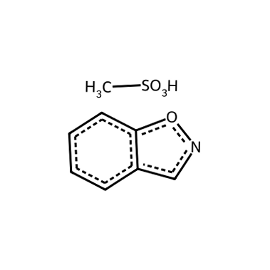 CS(=O)(=O)O.c1ccc2oncc2c1